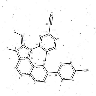 C/N=c1\n(C)c2cnc3ccc(-c4ccc(Cl)cc4)cc3c2n1-c1cc(C#N)ccc1C